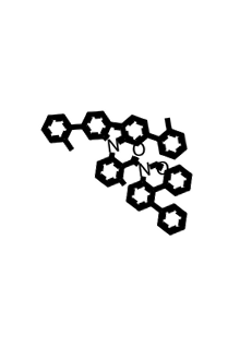 Cc1ccccc1-c1ccc2c3ccc(-c4ccccc4C)cc3n(-c3cccc(C)c3C(=O)N(C=O)c3cccc(-c4ccccc4)c3-c3ccccc3)c2c1